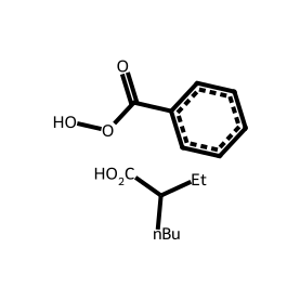 CCCCC(CC)C(=O)O.O=C(OO)c1ccccc1